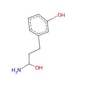 NC(O)CCc1cccc(O)c1